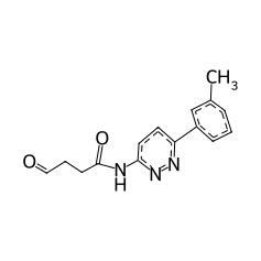 Cc1cccc(-c2ccc(NC(=O)CCC=O)nn2)c1